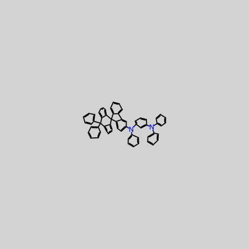 c1ccc(N(c2ccccc2)c2cccc(N(c3ccccc3)c3ccc4c(c3)-c3ccccc3C43c4ccccc4C(c4ccccc4)(c4ccccc4)c4ccccc43)c2)cc1